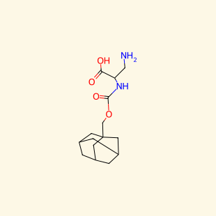 NCC(NC(=O)OCC12CC3CC(CC(C3)C1)C2)C(=O)O